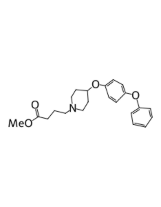 COC(=O)CCCN1CCC(Oc2ccc(Oc3ccccc3)cc2)CC1